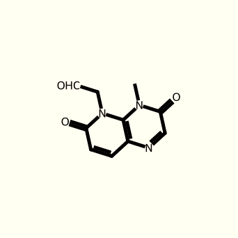 Cn1c(=O)cnc2ccc(=O)n(CC=O)c21